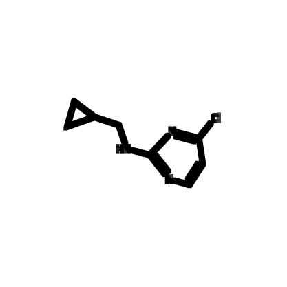 Clc1ccnc(NCC2CC2)n1